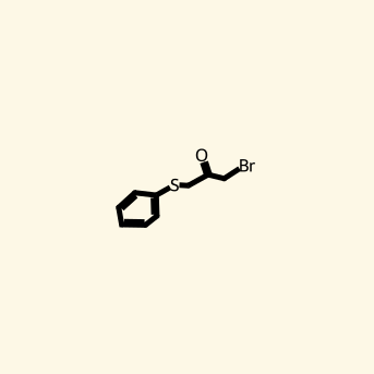 O=C(CBr)CSc1ccccc1